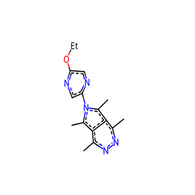 CCOc1cnc(-n2c(C)c3c(C)nnc(C)c3c2C)cn1